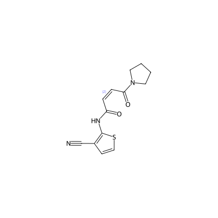 N#Cc1ccsc1NC(=O)/C=C\C(=O)N1CCCC1